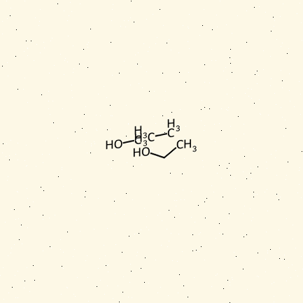 CC.CCO.CO